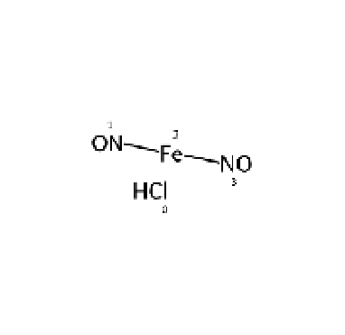 Cl.O=[N][Fe][N]=O